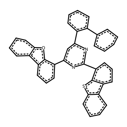 c1ccc(-c2ccccc2-c2cc(-c3cccc4c3oc3ccccc34)nc(-c3cccc4c3sc3ccccc34)n2)cc1